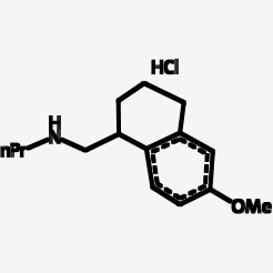 CCCNCC1CCCc2cc(OC)ccc21.Cl